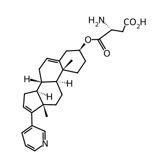 C[C@]12CC[C@H](OC(=O)[C@H](N)CC(=O)O)CC1=CC[C@@H]1[C@@H]2CC[C@]2(C)C(c3cccnc3)=CC[C@@H]12